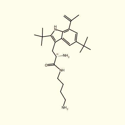 C=C(C)c1cc(C(C)(C)C)cc2c(C[C@H](N)C(=O)NCCCCN)c(C(C)(C)C)[nH]c12